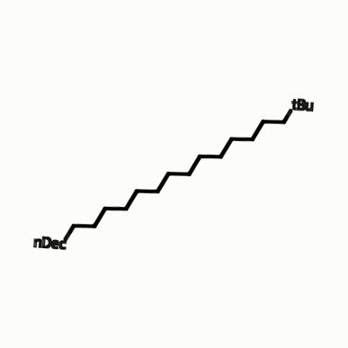 CCCCCCCCCCCCCCCCCCCCCCCCC(C)(C)C